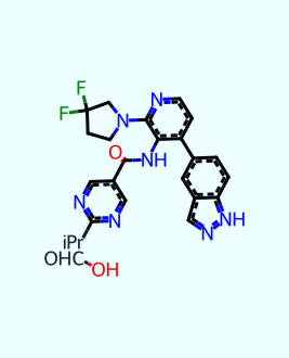 CC(C)c1ncc(C(=O)Nc2c(-c3ccc4[nH]ncc4c3)ccnc2N2CCC(F)(F)C2)cn1.O=CO